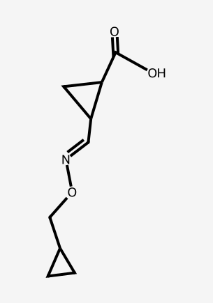 O=C(O)C1CC1/C=N/OCC1CC1